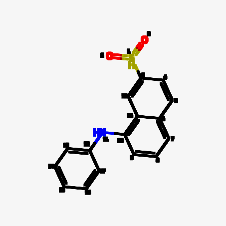 O=[SH](=O)c1ccc2cccc(Nc3ccccc3)c2c1